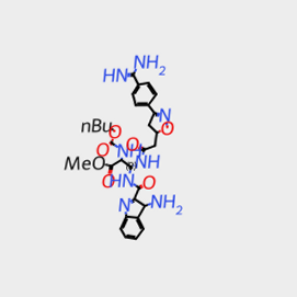 CCCCOC(=O)NC(C(=O)OC)[C@H](NC(=O)CC1CC(c2ccc(C(=N)N)cc2)=NO1)NC(=O)C1=Nc2ccccc2C1N